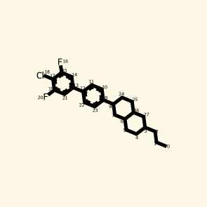 CCCC1CCC2CC(c3ccc(-c4cc(F)c(Cl)c(F)c4)cc3)CCC2C1